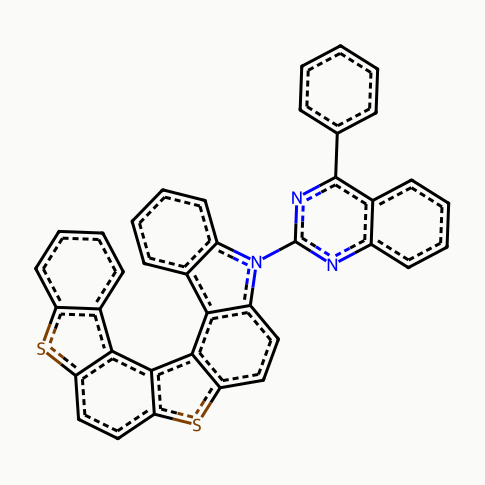 c1ccc(-c2nc(-n3c4ccccc4c4c5c(ccc43)sc3ccc4sc6ccccc6c4c35)nc3ccccc23)cc1